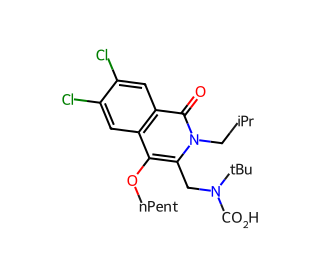 CCCCCOc1c(CN(C(=O)O)C(C)(C)C)n(CC(C)C)c(=O)c2cc(Cl)c(Cl)cc12